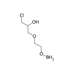 BOCCOCC(O)CCl